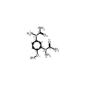 CC(C)Oc1ccc(N(N)C(N)=O)cc1N(N)C(N)=O